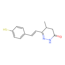 CC1CC(=O)NN=C1C=Cc1ccc(S)cc1